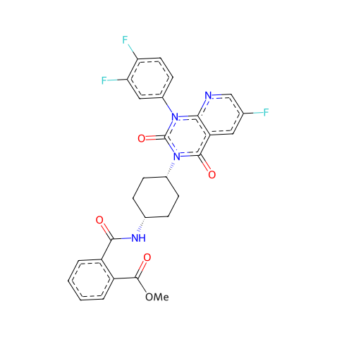 COC(=O)c1ccccc1C(=O)N[C@H]1CC[C@@H](n2c(=O)c3cc(F)cnc3n(-c3ccc(F)c(F)c3)c2=O)CC1